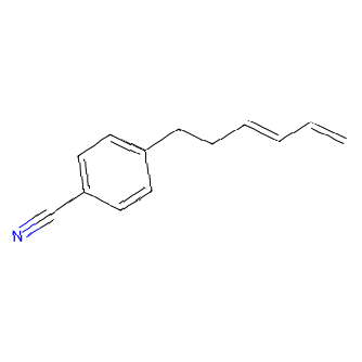 C=CC=CCCc1ccc(C#N)cc1